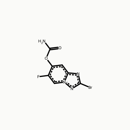 NC(=O)Oc1cc2nc(Br)nn2cc1F